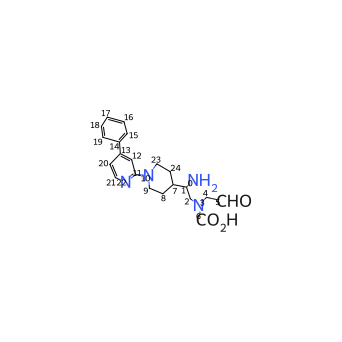 NC(CN(CC=O)C(=O)O)C1CCN(c2cc(-c3ccccc3)ccn2)CC1